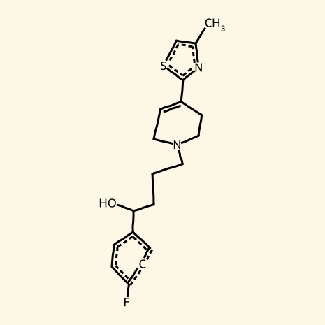 Cc1csc(C2=CCN(CCCC(O)c3ccc(F)cc3)CC2)n1